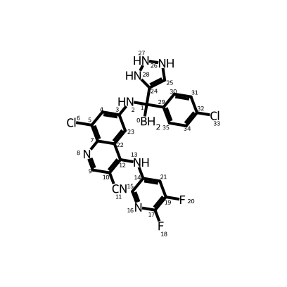 BC(Nc1cc(Cl)c2ncc(C#N)c(Nc3cnc(F)c(F)c3)c2c1)(C1=CNNN1)c1ccc(Cl)cc1